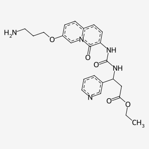 CCOC(=O)CC(NC(=O)Nc1ccc2ccc(OCCCN)cn2c1=O)c1cccnc1